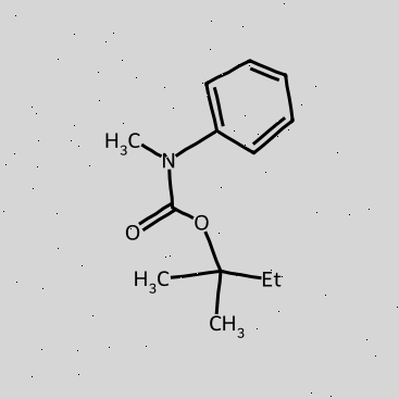 CCC(C)(C)OC(=O)N(C)c1ccccc1